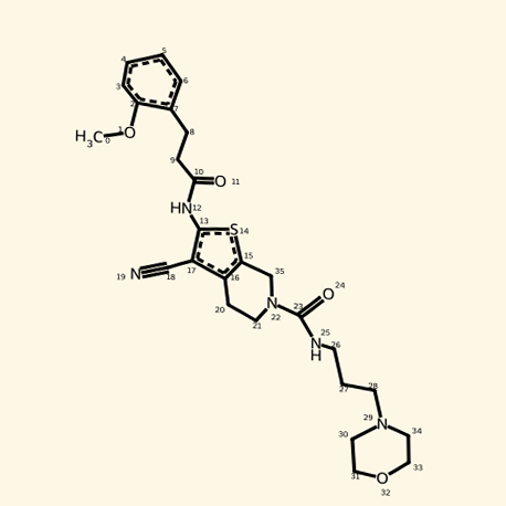 COc1ccccc1CCC(=O)Nc1sc2c(c1C#N)CCN(C(=O)NCCCN1CCOCC1)C2